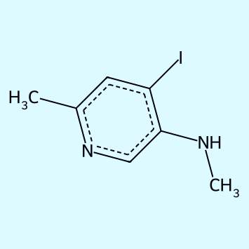 CNc1cnc(C)cc1I